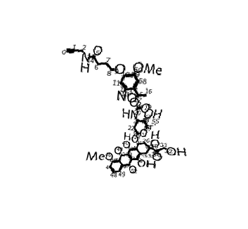 C#CCNC(=O)CCCOc1cc([N+](=O)[O-])c(C(C)OC(=O)NC2C[C@H](OC3C[C@](O)(C(=O)CO)Cc4c(O)c5c(c(O)c43)C(=O)c3c(OC)cccc3C5=O)O[C@@H](C)[C@H]2O)cc1OC